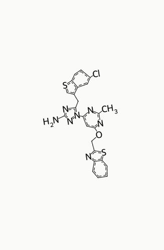 Cc1nc(OCc2nc3ccccc3s2)cc(-n2nc(N)nc2Cc2csc3ccc(Cl)cc23)n1